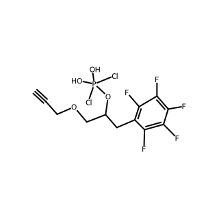 C#CCOCC(Cc1c(F)c(F)c(F)c(F)c1F)OP(O)(O)(Cl)Cl